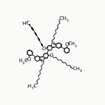 C#CC#CC#CC#CC#COc1cc2c(cc1-c1cc3c4cc(-c5ccccc5OC)ccc4n(CCCCCCCCCC)c3cc1OCCCCCCCCCC)c1cc(-c3ccccc3OC)ccc1n2CCCCCCCCCC